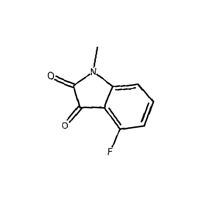 CN1C(=O)C(=O)c2c(F)cccc21